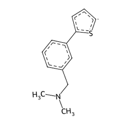 CN(C)Cc1cccc(-c2cc[c]s2)c1